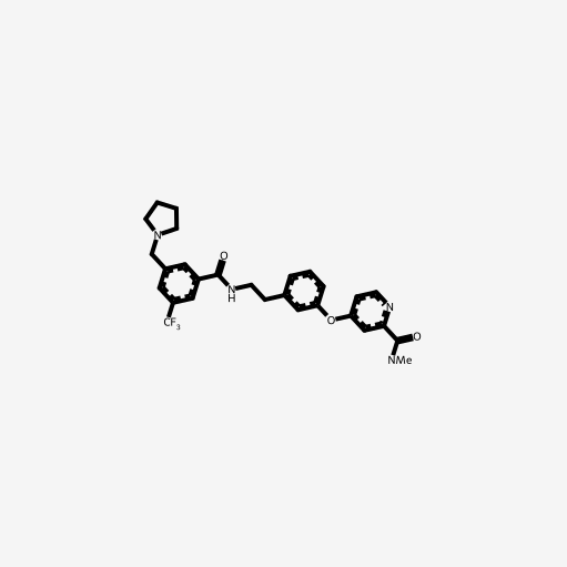 CNC(=O)c1cc(Oc2cccc(CCNC(=O)c3cc(CN4CCCC4)cc(C(F)(F)F)c3)c2)ccn1